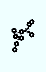 c1ccc(-c2ccc(-n3c4ccccc4c4c3ccc3c5ccccc5n(-c5ccc(-c6nc(-c7ccccc7)nc(-c7ccc8ccccc8c7)n6)cc5)c34)cc2)cc1